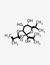 C=C(C)C(=O)O[C@H]1[C@H](O)[C@H](O)C(=C(C)C)O[C@]1(O)C(O)=C(C)C